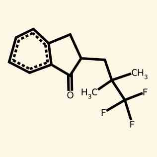 CC(C)(CC1Cc2ccccc2C1=O)C(F)(F)F